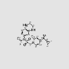 CC(=O)N(c1ccc2c(c1)NCCN2)S(=O)(=O)Cc1ccc(C(=O)C2CC2)cc1C